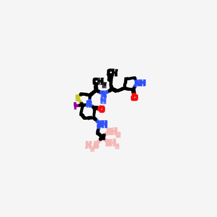 BC(B)(B)CNC1CCC2(I)SCC(C(=C)NC(C#C)CC3CCNC3=O)N2C1=O